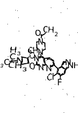 C=CC(=O)N1CCN(c2nc(OC3CN(C(C)(C)C)C[C@H]3OC)nc3nc(-c4c(Cl)c(F)cc5[nH]ncc45)ccc23)CC1